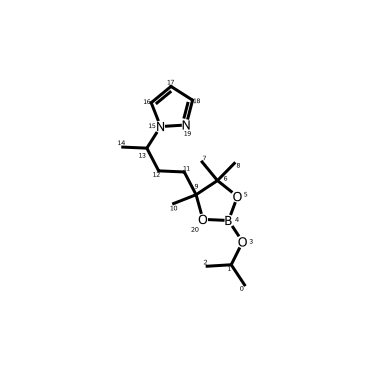 CC(C)OB1OC(C)(C)C(C)(CCC(C)n2cccn2)O1